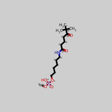 [3H]OP(=O)(O)OCCCCCCNC(=O)CCCC(=O)C(C)(C)C